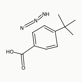 CC(C)(C)c1ccc(C(=O)O)cc1.[N-]=[N+]=N